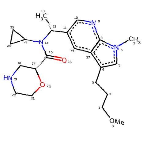 COCCCc1cn(C)c2ncc([C@@H](C)N(C(=O)[C@H]3CNCCO3)C3CC3)cc12